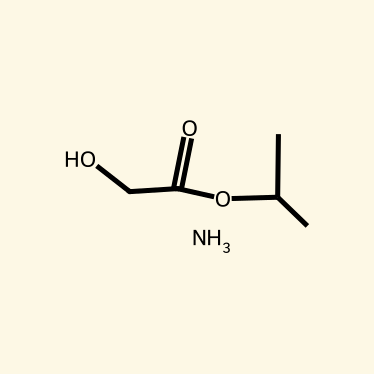 CC(C)OC(=O)CO.N